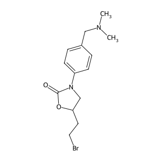 CN(C)Cc1ccc(N2CC(CCBr)OC2=O)cc1